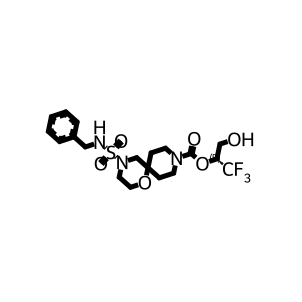 O=C(O[C@H](CO)C(F)(F)F)N1CCC2(CC1)CN(S(=O)(=O)NCc1ccccc1)CCO2